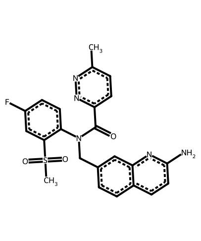 Cc1ccc(C(=O)N(Cc2ccc3ccc(N)nc3c2)c2ccc(F)cc2S(C)(=O)=O)nn1